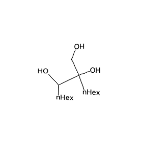 CCCCCCC(O)C(O)(CO)CCCCCC